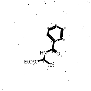 CCOC(=O)C(CC)NC(=O)c1ccccc1